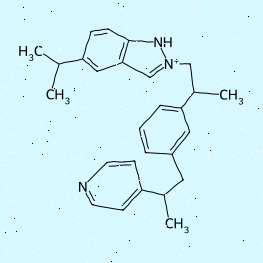 CC(C)c1ccc2[nH][n+](CC(C)c3cccc(CC(C)c4ccncc4)c3)cc2c1